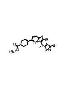 CCc1nc2ccc(C3CCN(C(=O)OC(C)(C)C)CC3)nn2c1N(C)c1nc(Br)ns1